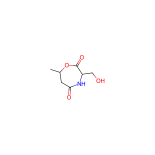 CC1CC(=O)NC(CO)C(=O)O1